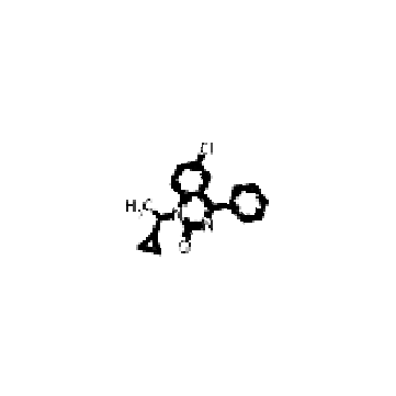 CC(C1CC1)n1c(=O)nc(-c2ccccc2)c2cc(Cl)ccc21